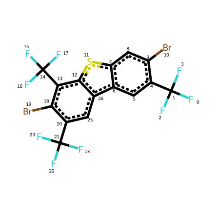 FC(F)(F)c1cc2c(cc1Br)sc1c(C(F)(F)F)c(Br)c(C(F)(F)F)cc12